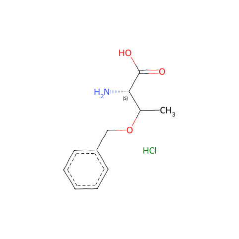 CC(OCc1ccccc1)[C@H](N)C(=O)O.Cl